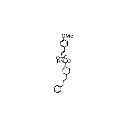 COc1ccc(/C=C/S(=O)(=O)NC(=O)N2CCC(CCCc3ccccc3)CC2)cc1